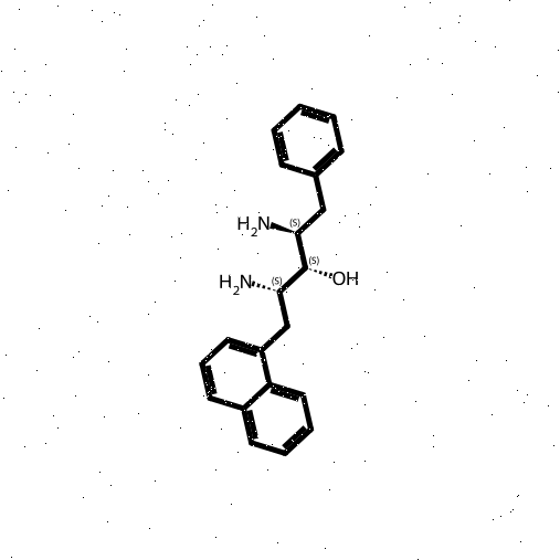 N[C@@H](Cc1ccccc1)[C@H](O)[C@@H](N)Cc1cccc2ccccc12